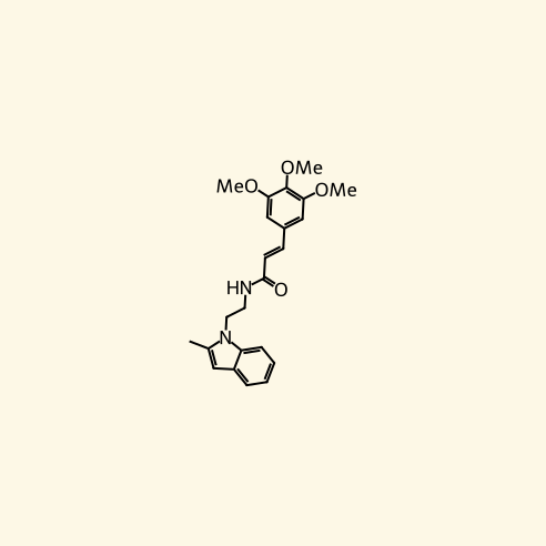 COc1cc(C=CC(=O)NCCn2c(C)cc3ccccc32)cc(OC)c1OC